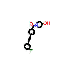 O=C(c1ccc(C#Cc2cccc(F)c2)cc1)N1CCC(O)CC1